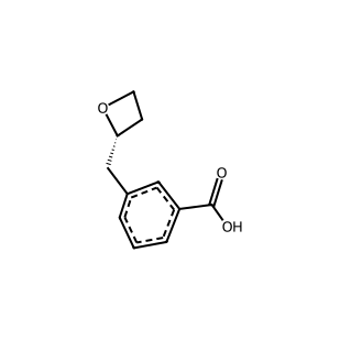 O=C(O)c1cccc(C[C@H]2CCO2)c1